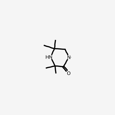 CC1(C)C[N]C(=O)C(C)(C)N1